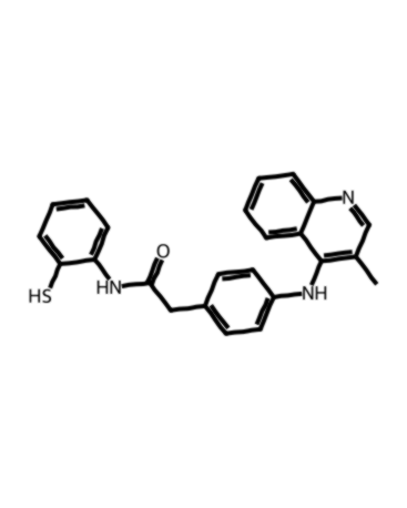 Cc1cnc2ccccc2c1Nc1ccc(CC(=O)Nc2ccccc2S)cc1